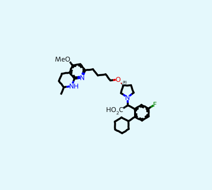 COc1cc(CCCCO[C@@H]2CCN(C(C(=O)O)c3cc(F)ccc3C3CCCCC3)C2)nc2c1CCC(C)N2